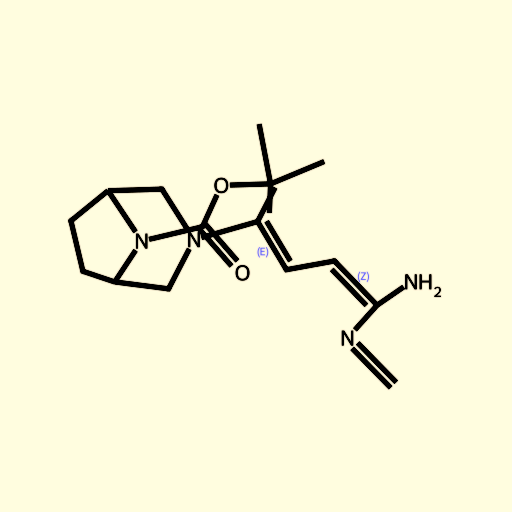 C=N/C(N)=C\C=C(/C)N1CC2CCC(C1)N2C(=O)OC(C)(C)C